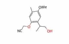 COc1cc(C(C)CO)c(OCC#N)cc1C